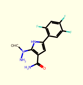 NC(=O)c1cc(-c2cc(F)c(F)cc2F)[nH]c1N(N)C=O